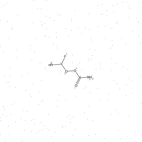 CCCC(F)OOC(N)=O